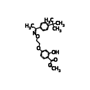 COC(=O)c1ccc(OCCO/N=C(/C)c2ccc(C(C)(C)C)cc2)cc1O